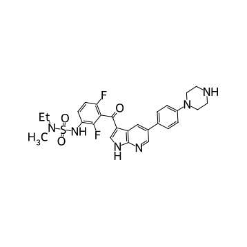 CCN(C)S(=O)(=O)Nc1ccc(F)c(C(=O)c2c[nH]c3ncc(-c4ccc(N5CCNCC5)cc4)cc23)c1F